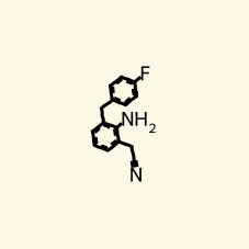 N#CCc1cccc(Cc2ccc(F)cc2)c1N